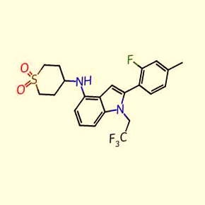 Cc1ccc(-c2cc3c(NC4CCS(=O)(=O)CC4)cccc3n2CC(F)(F)F)c(F)c1